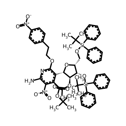 CC(=O)O[C@@H]1[C@@H](O[Si](c2ccccc2)(c2ccccc2)C(C)(C)C)[C@@H](CO[Si](c2ccccc2)(c2ccccc2)C(C)(C)C)O[C@H]1c1c(OCCc2ccc([N+](=O)[O-])cc2)nc(N)c([N+](=O)[O-])c1C(=O)OC(C)(C)C